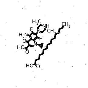 CCCCCCCCCCCCCCCC(=O)O.C[C@@H]1CN(c2c(F)c(N)c3c(=O)c(C(=O)O)cn(C4CC4)c3c2F)C[C@H](C)N1